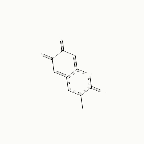 Cc1cc2c(oc1=O)=CC(=O)C(=O)C=2